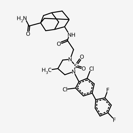 CC1CN(CC(=O)NC2C3CC4CC2CC(C(N)=O)(C4)C3)S(=O)(=O)N(c2c(Cl)cc(-c3ccc(F)cc3F)cc2Cl)C1